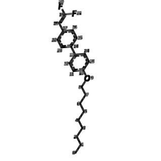 CCCCCCCCCOc1ccc(-c2ccc(C=C(F)F)cc2)cc1